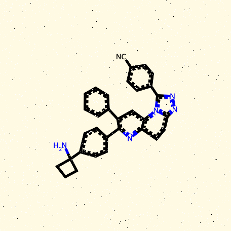 N#Cc1ccc(-c2nnc3ccc4nc(-c5ccc(C6(N)CCC6)cc5)c(-c5ccccc5)cc4n23)cc1